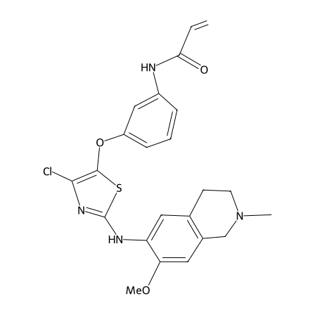 C=CC(=O)Nc1cccc(Oc2sc(Nc3cc4c(cc3OC)CN(C)CC4)nc2Cl)c1